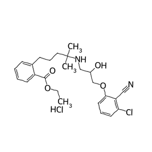 CCOC(=O)c1ccccc1CCCC(C)(C)NCC(O)COc1cccc(Cl)c1C#N.Cl